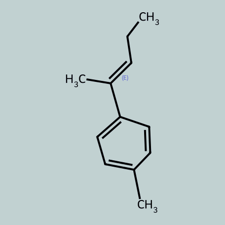 CC/C=C(\C)c1ccc(C)cc1